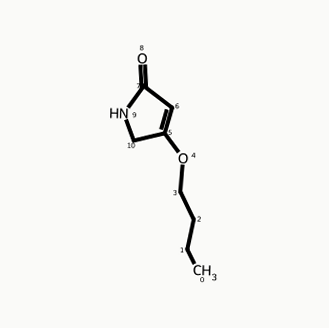 CCCCOC1=CC(=O)NC1